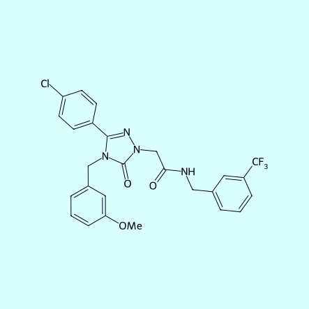 COc1cccc(Cn2c(-c3ccc(Cl)cc3)nn(CC(=O)NCc3cccc(C(F)(F)F)c3)c2=O)c1